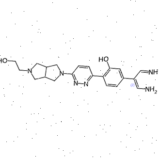 N=C/C(=C\N)c1ccc(-c2ccc(N3CC4CN(CCO)CC4C3)nn2)c(O)c1